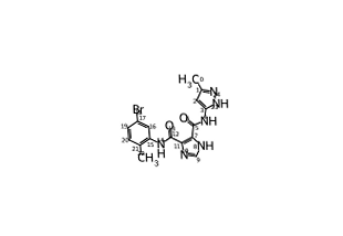 Cc1cc(NC(=O)c2[nH]cnc2C(=O)Nc2cc(Br)ccc2C)[nH]n1